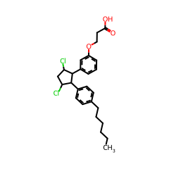 CCCCCCc1ccc(C2C(Cl)CC(Cl)C2c2cccc(OCCC(=O)O)c2)cc1